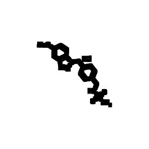 COc1ccc2c(c1)nnn2Cc1ccc(CNS(N)(=O)=O)cc1.Cl